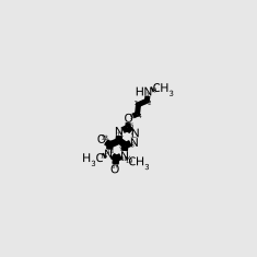 CNCCCOc1nnc2c(n1)c(=O)n(C)c(=O)n2C